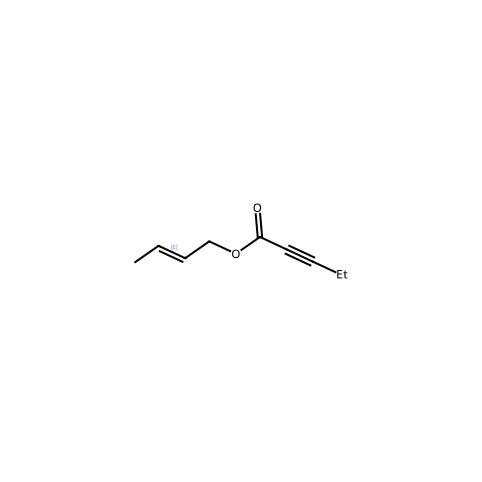 C/C=C/COC(=O)C#CCC